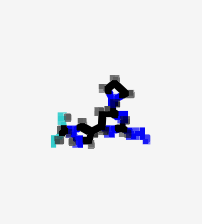 Nc1nc(-c2cnn(C(F)F)c2)cc(N2C[CH]C2)n1